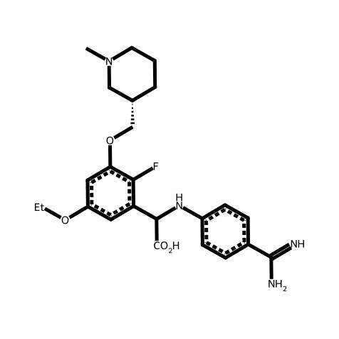 CCOc1cc(OC[C@H]2CCCN(C)C2)c(F)c(C(Nc2ccc(C(=N)N)cc2)C(=O)O)c1